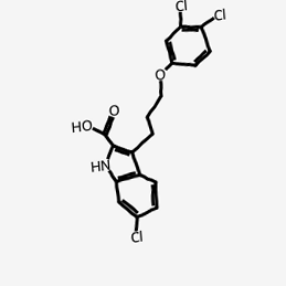 O=C(O)c1[nH]c2cc(Cl)ccc2c1CCCOc1ccc(Cl)c(Cl)c1